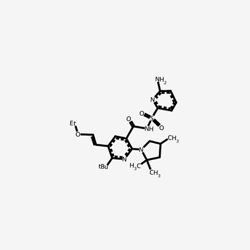 CCO/C=C/c1cc(C(=O)NS(=O)(=O)c2cccc(N)n2)c(N2CC(C)CC2(C)C)nc1C(C)(C)C